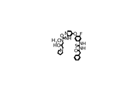 CN(C[C@@H](O)CN1CCCC1)C(=O)Nc1cc(Oc2ccc(NC(=S)NC(=O)Cc3ccccc3)cc2F)ccn1